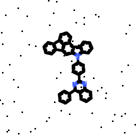 c1ccc(-c2nc(-c3ccc(-n4c5ccccc5c5c6cccc7c6c(cc54)-c4ccccc4-7)cc3)nc3ccccc23)cc1